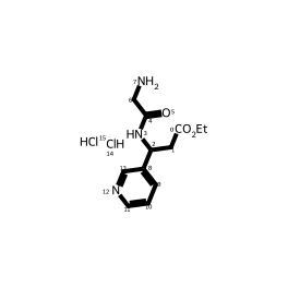 CCOC(=O)CC(NC(=O)CN)c1cccnc1.Cl.Cl